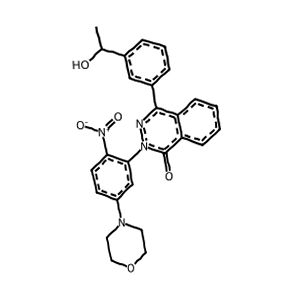 CC(O)c1cccc(-c2nn(-c3cc(N4CCOCC4)ccc3[N+](=O)[O-])c(=O)c3ccccc23)c1